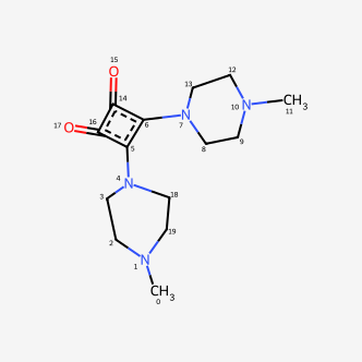 CN1CCN(c2c(N3CCN(C)CC3)c(=O)c2=O)CC1